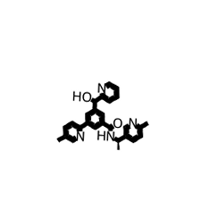 Cc1ccc(-c2cc(C(=O)N[C@H](C)c3ccc(C)nc3)cc(C(O)c3ccccn3)c2)nc1